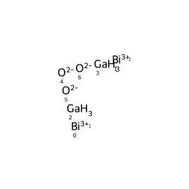 [Bi+3].[Bi+3].[GaH3].[GaH3].[O-2].[O-2].[O-2]